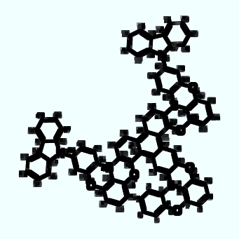 c1ccc2c(c1)Oc1cccc3c1B2c1cc2c(cc1O3)c1c3c(ccc1c1ccc4c(c12)Oc1cccc2c1B4c1ccc(-n4c5ccccc5c5ccccc54)cc1O2)B1c2ccc(-n4c5ccccc5c5ccccc54)cc2Oc2cccc(c21)O3